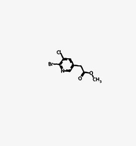 COC(=O)Cc1cnc(Br)c(Cl)c1